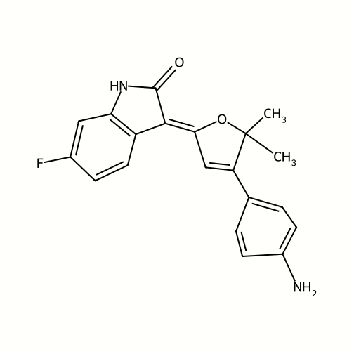 CC1(C)OC(=C2C(=O)Nc3cc(F)ccc32)C=C1c1ccc(N)cc1